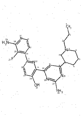 CCCN1CCCC(c2cc(-c3nc(-c4ccnc(N)c4F)ccc3O)nc(N)n2)C1